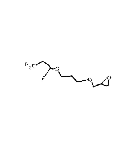 FC(CC(F)(F)F)OCCCOCC1CO1